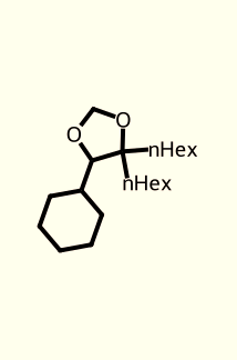 CCCCCCC1(CCCCCC)OCOC1C1CCCCC1